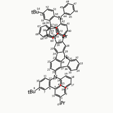 CC(C)c1cccc(-c2cc(C(C)(C)C)ccc2N(c2ccccc2)c2ccc3c4cc5c(cc4n4c6ccccc6c2c34)c2ccc(N(c3ccccc3)c3ccc(C(C)(C)C)cc3-c3cccc(C(C)C)c3)c3c4ccccc4n5c23)c1